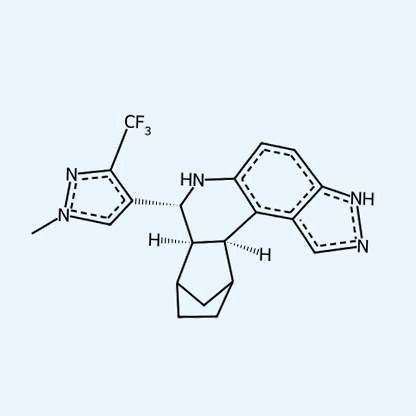 Cn1cc([C@@H]2Nc3ccc4[nH]ncc4c3[C@H]3C4CCC(C4)[C@@H]23)c(C(F)(F)F)n1